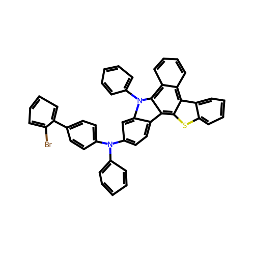 Brc1ccccc1-c1ccc(N(c2ccccc2)c2ccc3c4c5sc6ccccc6c5c5ccccc5c4n(-c4ccccc4)c3c2)cc1